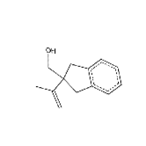 C=C(C)C1(CO)Cc2ccccc2C1